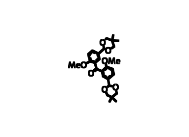 COc1ccc(C2OCC(C)(C)CO2)cc1C(=O)c1cc(C2OCC(C)(C)CO2)ccc1OC